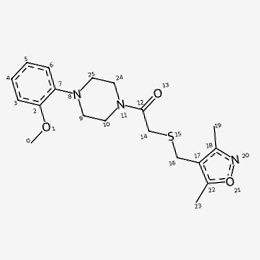 COc1ccccc1N1CCN(C(=O)CSCc2c(C)noc2C)CC1